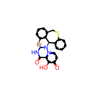 O=C1NCN([C@@H]2c3ccccc3SCc3cccc(Br)c32)n2ccc(=O)c(O)c21